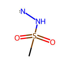 CS(=O)(=O)N[N]